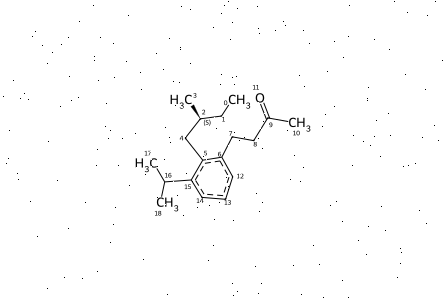 CC[C@H](C)Cc1c(CCC(C)=O)cccc1C(C)C